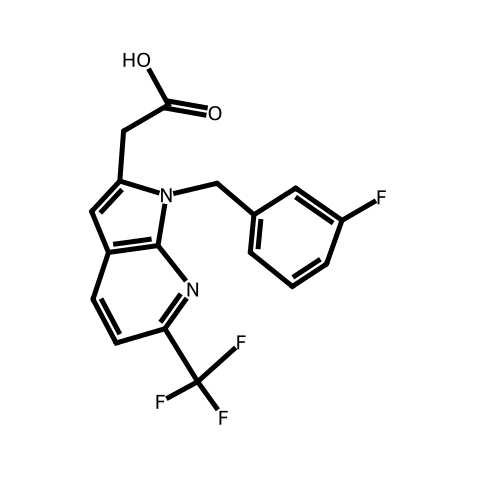 O=C(O)Cc1cc2ccc(C(F)(F)F)nc2n1Cc1cccc(F)c1